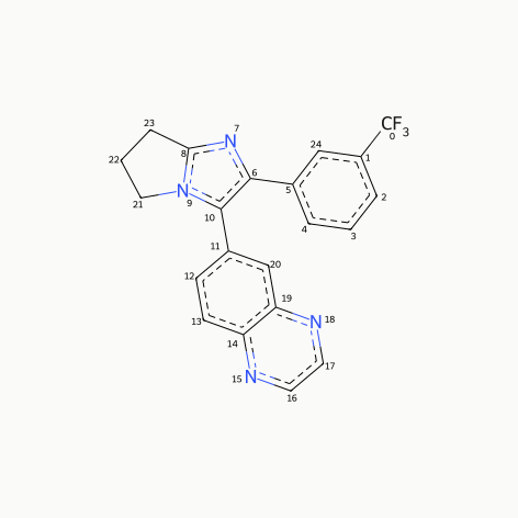 FC(F)(F)c1cccc(-c2nc3n(c2-c2ccc4nccnc4c2)CCC3)c1